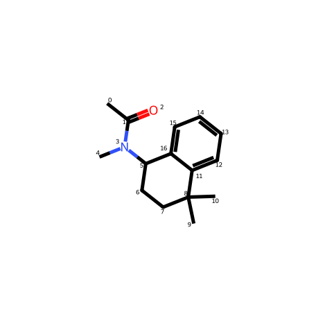 CC(=O)N(C)C1CCC(C)(C)c2ccccc21